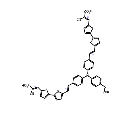 [C-]#[N+]/C(=C\c1ccc(-c2ccc(/C=C/c3ccc(N(c4ccc(/C=C/c5ccc(-c6ccc(/C=C(\C#N)C(=O)O)s6)s5)cc4)c4ccc(SCCCC)cc4)cc3)s2)s1)C(=O)O